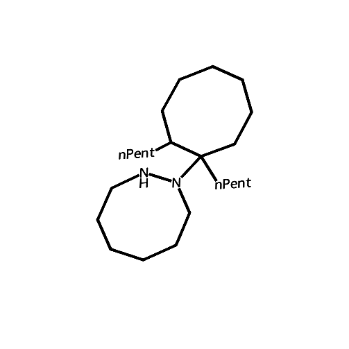 CCCCCC1CCCCCCC1(CCCCC)N1CCCCCCN1